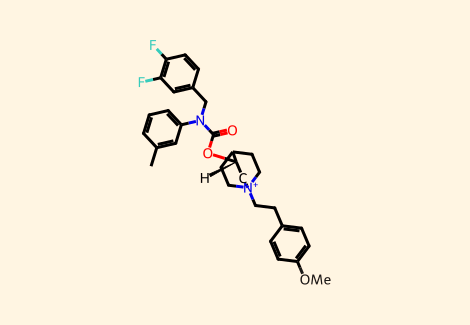 COc1ccc(CC[N+]23CCC(CC2)[C@@H](OC(=O)N(Cc2ccc(F)c(F)c2)c2cccc(C)c2)C3)cc1